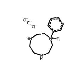 [Cl-].[Cl-].[Cl-].[Ti][N+]1(c2ccccc2)CCNCCNCC1